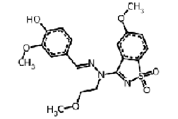 COCCN(N=Cc1ccc(O)c(OC)c1)C1=NS(=O)(=O)c2ccc(OC)cc21